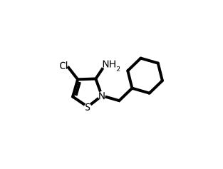 NC1C(Cl)=CSN1CC1CCCCC1